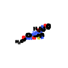 C=CC(=O)NC1CCCC(NC(=O)c2sc3nccc4c3c2NC(=O)N4c2ccc(Oc3ccccc3)nc2C)C1